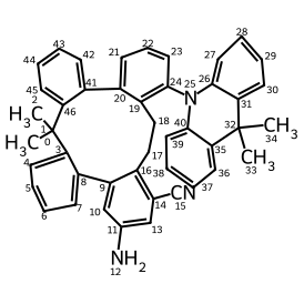 CC1(C)c2ccccc2-c2cc(N)cc(C#N)c2CCc2c(cccc2N2c3ccccc3C(C)(C)c3ccccc32)-c2ccccc21